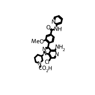 COc1cc(C(=O)Nc2ccccn2)ccc1-c1nn(C2CCCN(C(=O)O)C2)c2c(Cl)cnc(N)c12